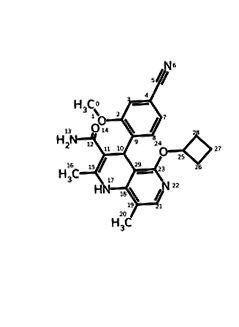 COc1cc(C#N)ccc1C1C(C(N)=O)=C(C)Nc2c(C)cnc(OC3CCC3)c21